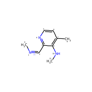 C/N=C\c1nccc(C)c1NC